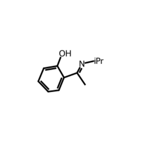 CC(=NC(C)C)c1ccccc1O